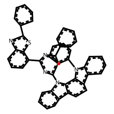 c1ccc(-c2nc(-c3cccc4nc(-c5ccccc5)sc34)nc(-n3c4ccccc4c4ccc5c6ccccc6n(-c6ccccc6)c5c43)n2)cc1